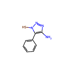 Nc1nnn(S)c1-c1ccccc1